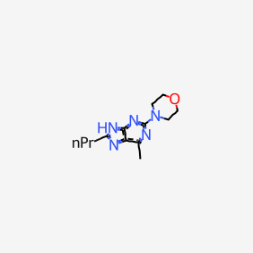 CCCc1nc2c(C)nc(N3CCOCC3)nc2[nH]1